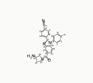 Cc1ccc(-n2c(-c3ccc(C#N)cc3)nc3cc(C(=O)N4CCC(N)C4)ccc32)cc1